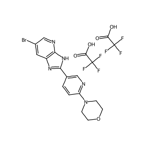 Brc1cnc2[nH]c(-c3ccc(N4CCOCC4)nc3)nc2c1.O=C(O)C(F)(F)F.O=C(O)C(F)(F)F